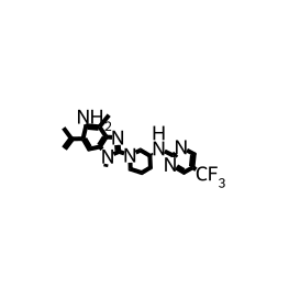 C=C(C)c1cc2c(nc(N3CCC[C@@H](Nc4ncc(C(F)(F)F)cn4)C3)n2C)c(C)c1N